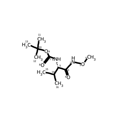 CONC(=O)[C@@H](NC(=O)OC(C)(C)C)C(C)C